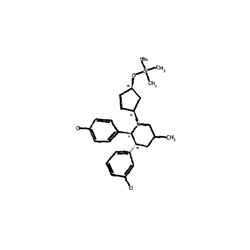 CC1C[C@H](c2cccc(Cl)c2)[C@@H](c2ccc(Cl)cc2)N([C@H]2CC[C@@H](O[Si](C)(C)C(C)(C)C)C2)C1